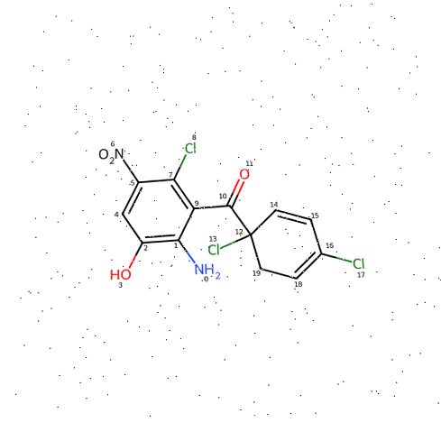 Nc1c(O)cc([N+](=O)[O-])c(Cl)c1C(=O)C1(Cl)C=CC(Cl)=CC1